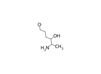 CC(N)C(O)CCC[O]